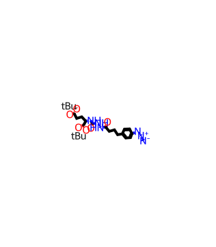 CC(C)(C)OC(=O)CCC(NC(=O)NNC(=O)CCCc1ccc(N=[N+]=[N-])cc1)C(=O)OC(C)(C)C